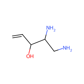 C=CC(O)C(N)CN